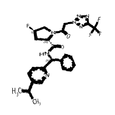 CC(C)c1ccc([C@@H](NC(=O)[C@@H]2C[C@@H](F)CN2C(=O)Cn2nnc(C(F)(F)F)n2)c2ccccc2)nc1